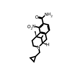 CC1[C@@H]2Cc3ccc(C(N)=O)c([N+](=O)[O-])c3[C@@]1(C)CCN2CC1CC1